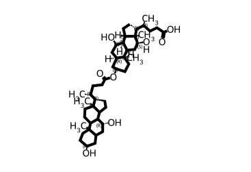 C[C@H](CCC(=O)O)[C@H]1CC[C@H]2[C@@H]3[C@H](O)C[C@@H]4C[C@H](OC(=O)CC[C@@H](C)[C@H]5CCC6C7C(CC[C@@]65C)[C@@]5(C)CC[C@@H](O)CC5C[C@H]7O)CC[C@]4(C)[C@H]3C[C@H](O)[C@]12C